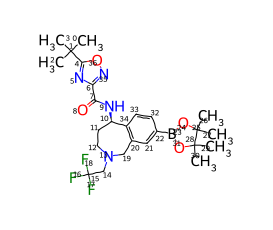 CC(C)(C)c1nc(C(=O)N[C@@H]2CCN(CC(F)(F)F)Cc3cc(B4OC(C)(C)C(C)(C)O4)ccc32)no1